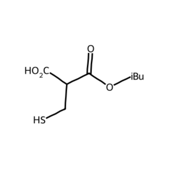 CCC(C)OC(=O)C(CS)C(=O)O